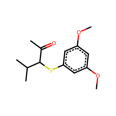 COc1cc(OC)cc(SC(C(C)=O)C(C)C)c1